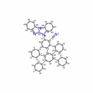 N#Cc1cc(-c2c(-c3ccccc3)c(-c3ccccc3)cc(-c3ccccc3)c2-c2ccccc2)ccc1-n1c2ccccc2n2c3ccccc3nc12